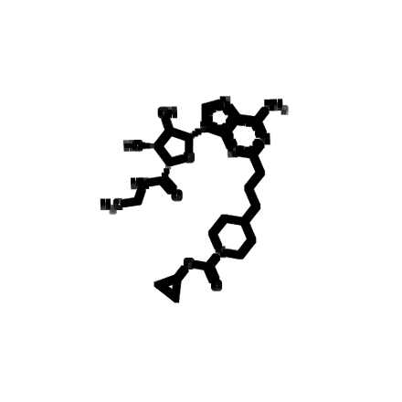 CCNC(=O)[C@H]1O[C@@H](n2cnc3c(N)nc(CCCC4CCN(C(=O)OC5CC5)CC4)nc32)C(O)[C@H]1O